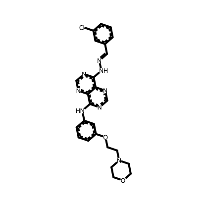 Clc1cccc(C=NNc2ncnc3c(Nc4cccc(OCCN5CCOCC5)c4)ncnc23)c1